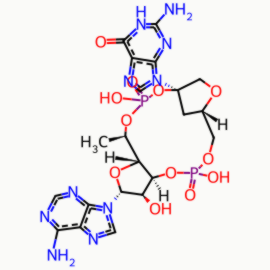 C[C@H]1OP(=O)(O)O[C@@]2(n3cnc4c(=O)[nH]c(N)nc43)CO[C@H](COP(=O)(O)O[C@H]3[C@@H](O)[C@H](n4cnc5c(N)ncnc54)O[C@@H]31)C2